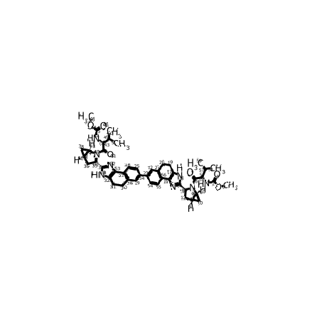 COC(=O)N[C@H](C(=O)N1[C@@H]2C[C@@H]2C[C@H]1c1nc2c([nH]1)CCc1cc(-c3ccc4c(c3)CCc3[nH]c([C@@H]5C[C@H]6C[C@H]6N5C(=O)[C@@H](NC(=O)OC)C(C)C)nc3-4)ccc1-2)C(C)C